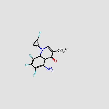 NC1=C(F)C(F)=C(F)C2C1C(=O)C(C(=O)O)=CN2C1CC1F